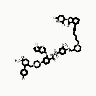 CC1(C)CCC(CN2CCN(c3ccc(C(=O)NS(=O)(=O)c4ccc(NCC5CCCN(CCCCC#Cc6cccc7c6C(=O)N(C6CCC(=O)NC6=O)C7)C5)c([N+](=O)[O-])c4)c(Oc4cnc5[nH]ccc5c4)c3)CC2)=C(c2ccc(Cl)cc2)C1